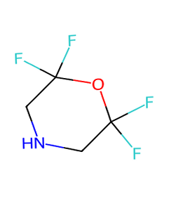 FC1(F)CNCC(F)(F)O1